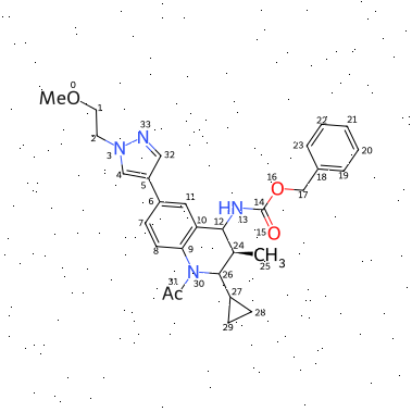 COCCn1cc(-c2ccc3c(c2)C(NC(=O)OCc2ccccc2)[C@@H](C)C(C2CC2)N3C(C)=O)cn1